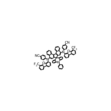 N#Cc1ccc(N(c2cc3c(c4ccccc24)-c2c(cc(N(c4ccc(C#N)cc4)c4cccc5c4oc4c(C(F)(F)F)cccc45)c4ccccc24)C32c3ccccc3N(c3ccccc3)c3ccccc32)c2cccc3c2oc2c(C(F)(F)F)cccc23)cc1